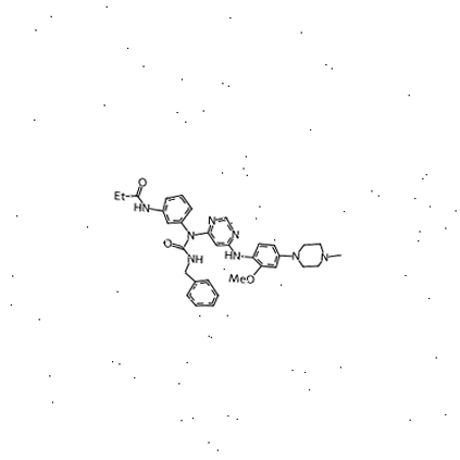 CCC(=O)Nc1cccc(N(C(=O)NCc2ccccc2)c2cc(Nc3ccc(N4CCN(C)CC4)cc3OC)ncn2)c1